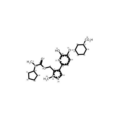 CN(C(=O)OCc1c(-c2ccc(O[C@H]3CCC[C@H](C(=O)O)C3)c(O)n2)cnn1C)C1CCCC1